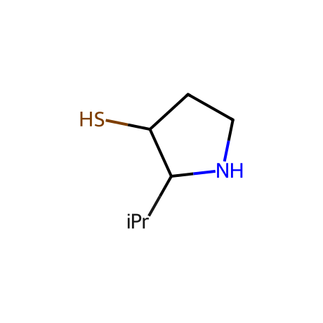 CC(C)C1NCCC1S